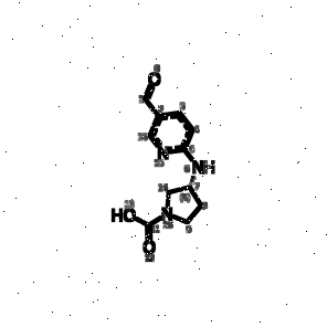 O=Cc1ccc(N[C@@H]2CCN(C(=O)O)C2)nc1